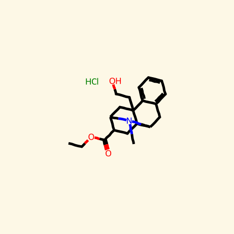 CCOC(=O)C1CC2C3Cc4ccccc4C2(CCO)CC1N3C.Cl